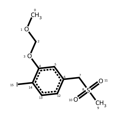 COCOc1cc(CS(C)(=O)=O)ccc1I